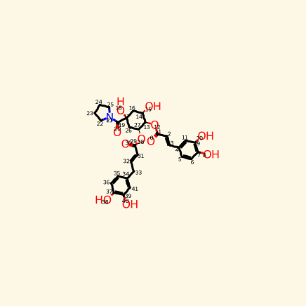 O=C(/C=C/c1ccc(O)c(O)c1)O[C@@H]1[C@H](O)C[C@@](O)(C(=O)N2CCCC2)C[C@H]1OC(=O)/C=C/Cc1ccc(O)c(O)c1